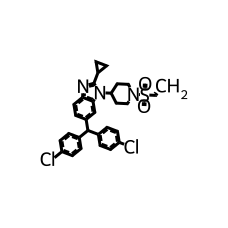 C=CS(=O)(=O)N1CCC(n2c(C3CC3)nc3ccc(C(c4ccc(Cl)cc4)c4ccc(Cl)cc4)cc32)CC1